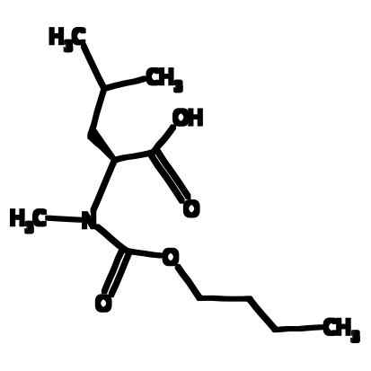 CCCCOC(=O)N(C)[C@@H](CC(C)C)C(=O)O